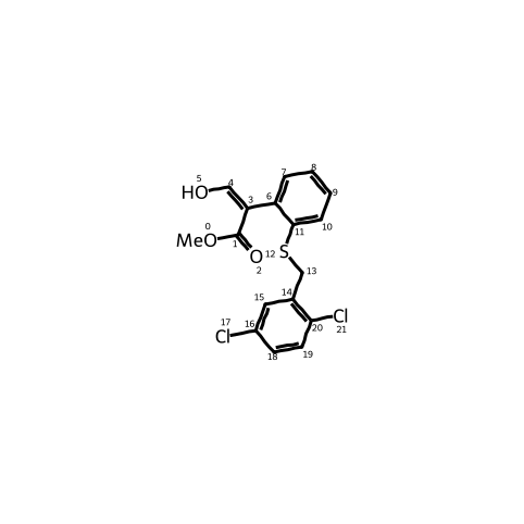 COC(=O)C(=CO)c1ccccc1SCc1cc(Cl)ccc1Cl